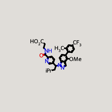 COc1c(-c2ccc(C(F)(F)F)cc2C)ccc2c1cnn2C(CC(C)C)c1ccc(C(=O)NCCC(=O)O)nc1